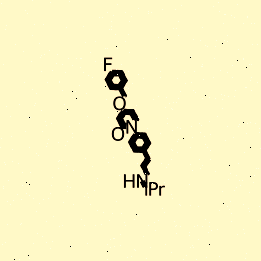 CC(C)NCC=Cc1ccc(-n2ccc(OCc3ccc(F)cc3)cc2=O)cc1